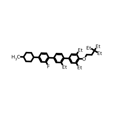 CCc1cc(-c2ccc(C3CCC(C)CC3)cc2F)ccc1-c1cc(CC)c(OCCC(CC)(CC)CC)c(CC)c1